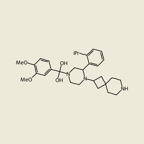 COc1ccc(C(O)(O)N2CCN(C3CC4(CCNCC4)C3)C(c3ccccc3C(C)C)C2)cc1OC